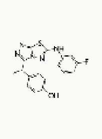 CC(c1ccc(O)cc1)c1nnc2sc(Nc3cccc(F)c3)nn12